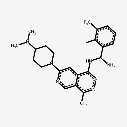 Cc1nnc(N[C@H](N)c2cccc(C(F)(F)F)c2F)c2cc(N3CCC(N(C)C)CC3)ncc12